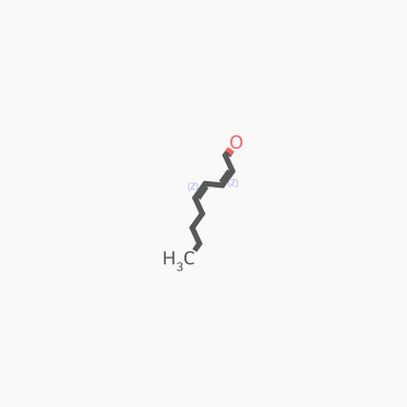 CCCC/C=C\C=C/C=O